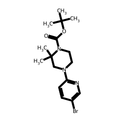 CC(C)(C)OC(=O)N1CCN(c2ccc(Br)cn2)CC1(C)C